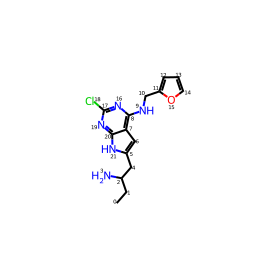 CCC(N)Cc1cc2c(NCc3ccco3)nc(Cl)nc2[nH]1